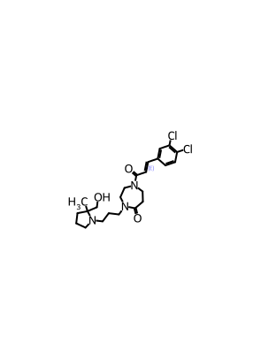 CC1(CO)CCCN1CCCN1CCN(C(=O)/C=C/c2ccc(Cl)c(Cl)c2)CCC1=O